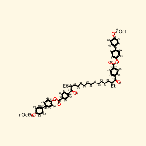 CCCCCCCCOc1ccc(-c2ccc(OC(=O)c3ccc(C(=O)[C@@H](CC)CCCCCCCCCCC[C@H](CC)C(=O)c4ccc(C(=O)Oc5ccc(-c6ccc(OCCCCCCCC)cc6)cc5)cc4)cc3)cc2)cc1